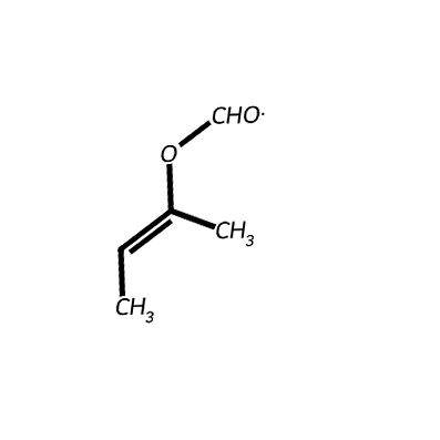 C/C=C(\C)O[C]=O